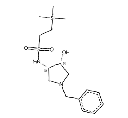 C[Si](C)(C)CCS(=O)(=O)N[C@H]1CN(Cc2ccccc2)C[C@H]1O